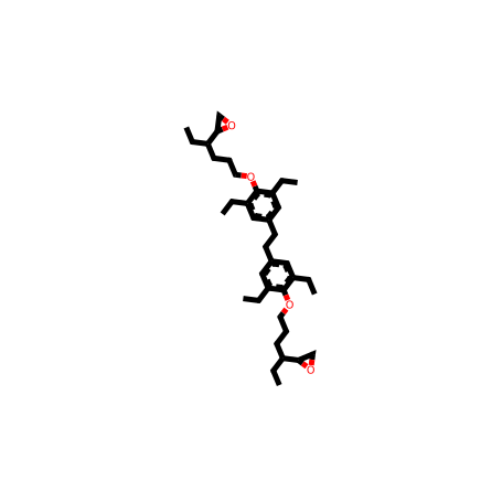 CCc1cc(CCc2cc(CC)c(OCCCC(CC)C3CO3)c(CC)c2)cc(CC)c1OCCCC(CC)C1CO1